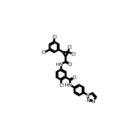 O=C(Nc1ccc(-n2ccnn2)cc1)c1cc(NC(=O)C2C(c3cc(Cl)cc(Cl)c3)C2(Cl)Cl)ccc1Cl